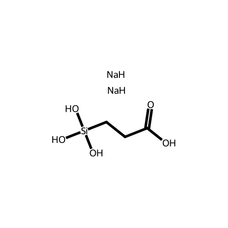 O=C(O)CC[Si](O)(O)O.[NaH].[NaH]